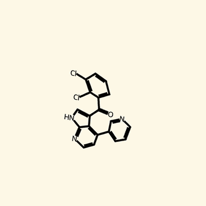 O=C(c1cccc(Cl)c1Cl)c1c[nH]c2nccc(-c3cccnc3)c12